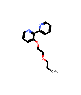 COCCOCCOc1cccnc1-c1ccccn1